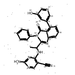 CC(Nc1nc(N)ncc1C#N)c1nc2cccc(-c3cncc(O)c3)c2c(=O)n1-c1ccccc1